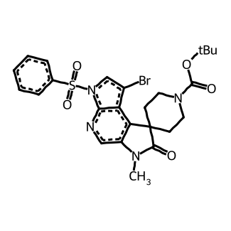 CN1C(=O)C2(CCN(C(=O)OC(C)(C)C)CC2)c2c1cnc1c2c(Br)cn1S(=O)(=O)c1ccccc1